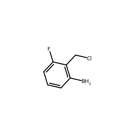 Bc1cccc(F)c1CCl